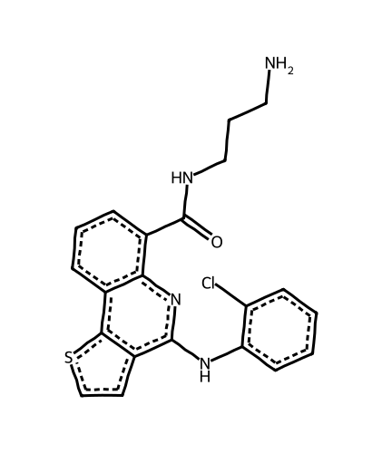 NCCCNC(=O)c1cccc2c1nc(Nc1ccccc1Cl)c1ccsc12